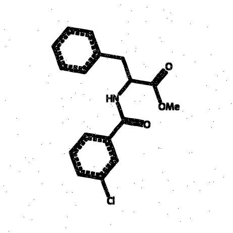 COC(=O)C(Cc1ccccc1)NC(=O)c1cccc(Cl)c1